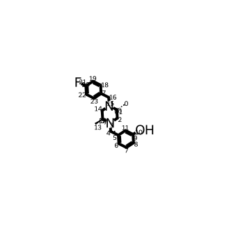 C[C@@H]1CN([CH]c2cccc(O)c2)[C@@H](C)CN1Cc1ccc(F)cc1